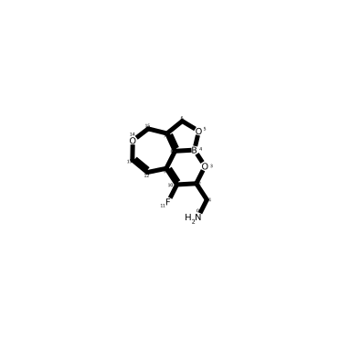 NCC1OB2OCC3=C2C(=C1F)C=COC3